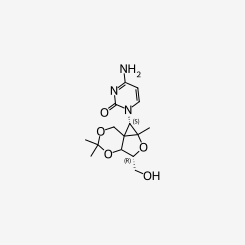 CC1(C)OCC23C(O1)[C@@H](CO)OC2(C)[C@H]3n1ccc(N)nc1=O